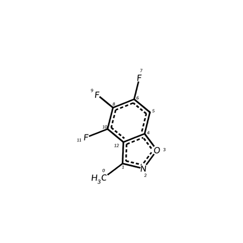 Cc1noc2cc(F)c(F)c(F)c12